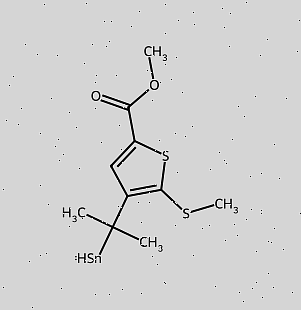 COC(=O)c1cc([C](C)(C)[SnH])c(SC)s1